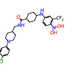 O=C(NCC1CCN(c2ccc(Cl)cc2)CC1)C1CCC(Nc2ccc(N(O)O)c(C(F)(F)F)c2)CC1